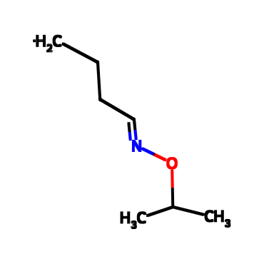 [CH2]CCC=NOC(C)C